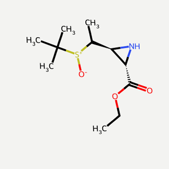 CCOC(=O)[C@H]1N[C@@H]1C(C)[S+]([O-])C(C)(C)C